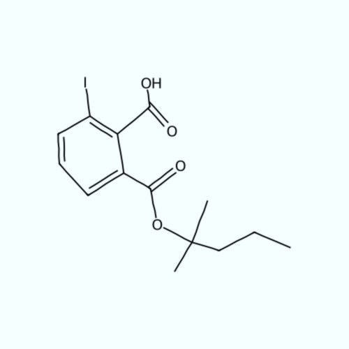 CCCC(C)(C)OC(=O)c1cccc(I)c1C(=O)O